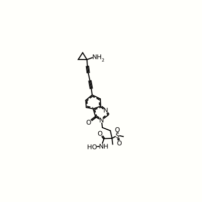 CC(CCn1cnc2cc(C#CC#CC3(N)CC3)ccc2c1=O)(C(=O)NO)S(C)(=O)=O